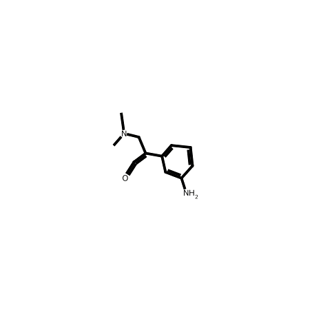 CN(C)CC(=C=O)c1cccc(N)c1